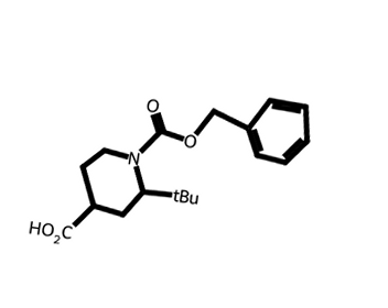 CC(C)(C)C1CC(C(=O)O)CCN1C(=O)OCc1ccccc1